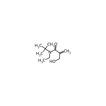 C=C(CO)C(=O)N(CC)C(C)(C)C